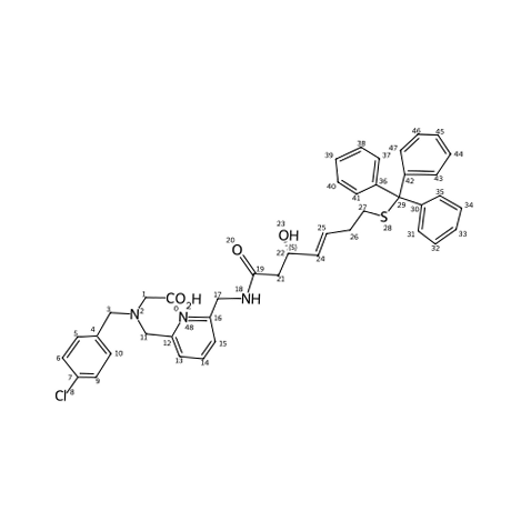 O=C(O)CN(Cc1ccc(Cl)cc1)Cc1cccc(CNC(=O)C[C@H](O)C=CCCSC(c2ccccc2)(c2ccccc2)c2ccccc2)n1